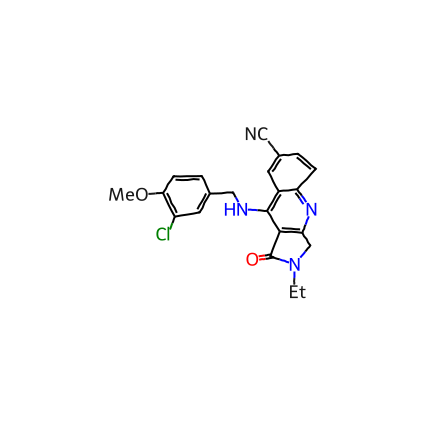 CCN1Cc2nc3ccc(C#N)cc3c(NCc3ccc(OC)c(Cl)c3)c2C1=O